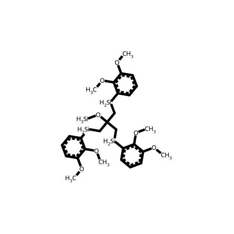 COc1cccc([SiH2]CC(C[SiH2]c2cccc(OC)c2OC)(C[SiH2]c2cccc(OC)c2OC)O[SiH3])c1OC